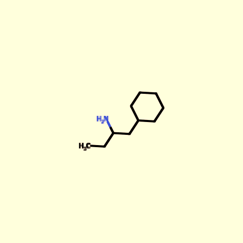 CCC(N)CC1CCCCC1